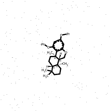 CC(C)Oc1cc2c(c(OC(C)C)c1)[C@]1(C)CC[C@H]3C(C)(C)CCC[C@]3(C)[C@H]1CO2